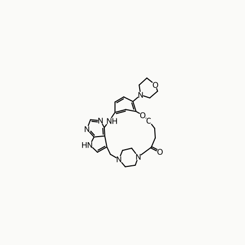 O=C1CCCOc2cc(ccc2N2CCOCC2)Nc2ncnc3[nH]cc(c23)CN2CCN1CC2